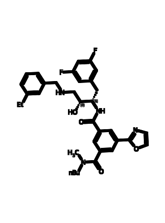 CCCCN(C)C(=O)c1cc(C(=O)N[C@@H](Cc2cc(F)cc(F)c2)[C@H](O)CNCc2cccc(CC)c2)cc(-c2ncco2)c1